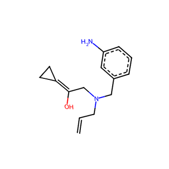 C=CCN(CC(O)=C1CC1)Cc1cccc(N)c1